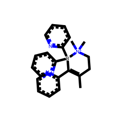 CC1=C(c2ccccn2)[B-](c2ccccn2)(c2ccccn2)[N+](C)(C)CC1